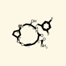 NC(=O)[C@@H]1C/C=C\CO[C@@H]2CC[C@@H](C2)NC[C@@H](O)[C@H](Cc2cc(F)cc(F)c2)NC1=O